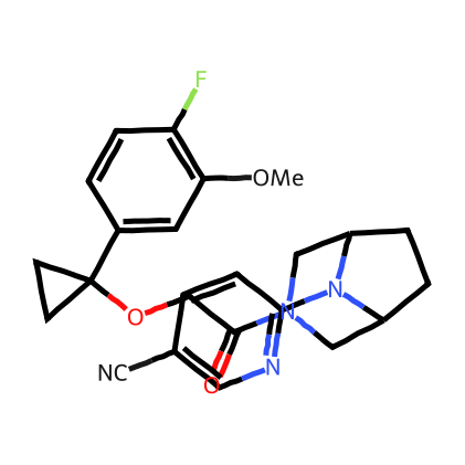 COc1cc(C2(OCC(=O)N3CC4CCC(C3)N4c3ccc(C#N)cn3)CC2)ccc1F